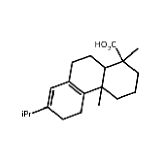 CC(C)C1=CC2=C(CC1)C1(C)CCCC(C)(C(=O)O)C1CC2